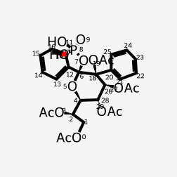 CC(=O)OC[C@@H](OC(C)=O)[C@H]1O[C@](OP(=O)(O)O)(c2ccccc2)[C@](OC(C)=O)(c2ccccc2)[C@@H](OC(C)=O)[C@@H]1OC(C)=O